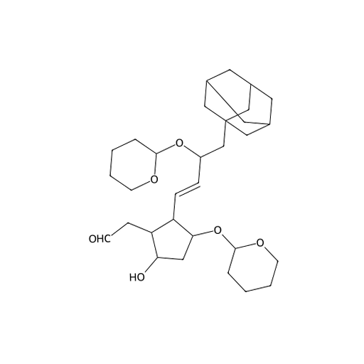 O=CCC1C(O)CC(OC2CCCCO2)C1C=CC(CC12CC3CC(CC(C3)C1)C2)OC1CCCCO1